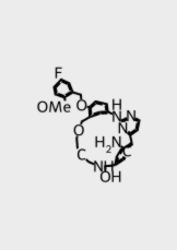 COc1ccc(F)cc1COc1ccc2cc1COCCCCNC(O)c1ccc(c(N)c1)-c1ccnc(n1)N2